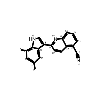 Cc1cc(C)c2[nH]cc(-c3ccc4c(C#N)cccc4n3)c2c1